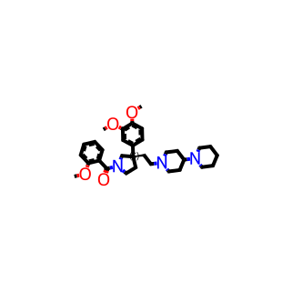 COc1ccc([C@]2(CCN3CCC(N4CCCCC4)CC3)CCN(C(=O)c3ccccc3OC)C2)cc1OC